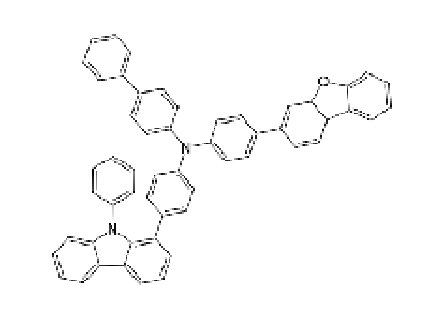 C1=CC2c3ccccc3OC2C=C1c1ccc(N(c2ccc(-c3ccccc3)cc2)c2ccc(-c3cccc4c5ccccc5n(-c5ccccc5)c34)cc2)cc1